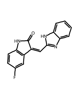 O=C1Nc2ccc(F)cc2/C1=C/c1nc2ccccc2[nH]1